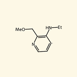 CCNc1[c]ccnc1COC